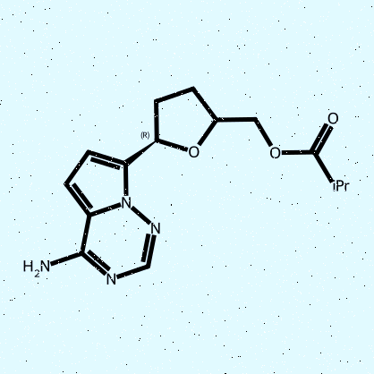 CC(C)C(=O)OCC1CC[C@H](c2ccc3c(N)ncnn23)O1